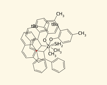 Cc1ccc([O][Zr]([CH3])([CH3])(=[SiH2])([O]c2ccc(C)cc2C(C)(C)C)([CH]2C(c3ccccc3)=Cc3ccc4ccccc4c32)[CH]2C(c3ccccc3)=Cc3ccc4ccccc4c32)c(C(C)(C)C)c1